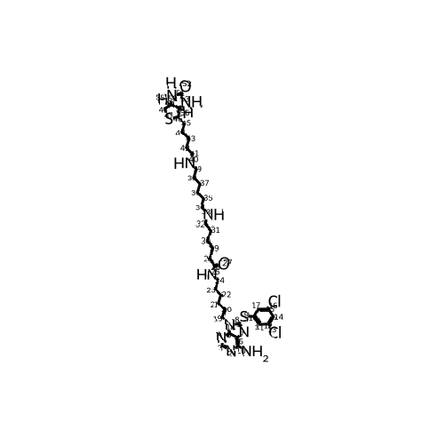 Nc1ncnc2c1nc(Sc1cc(Cl)cc(Cl)c1)n2CCCCCCNC(=O)CCCCCNCCCCCCNCCCCC[C@H]1SC[C@@H]2NC(=O)N[C@@H]21